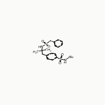 CC(C)(C)NS(=O)(=O)c1ccc(CC(C)(C)NS(=O)(=O)Cc2ccccc2)cc1